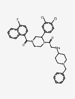 O=C(c1ccc(F)c2ccccc12)N1CCN(C(=O)CNC2CCN(Cc3ccccc3)CC2)C(c2ccc(Cl)c(Cl)c2)C1